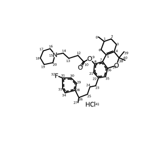 CC1CCC2=C(C1)c1c(OC(=O)CCCN3CCCCC3)cc(CCCC(C)c3ccc(F)cc3)cc1OC2(C)C.Cl